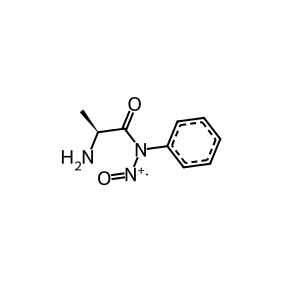 C[C@H](N)C(=O)N([N+]=O)c1ccccc1